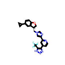 FC(F)(F)c1[nH]nnc1-c1ccnc(-c2cn(C[C@H]3COc4ccc(C5CC5)cc43)cn2)c1